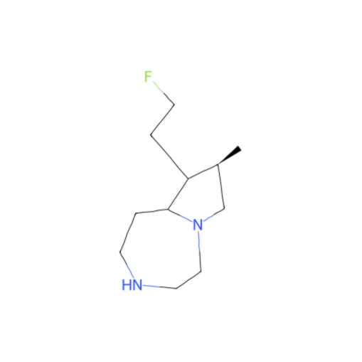 C[C@H]1CN2CCNCCC2C1CCF